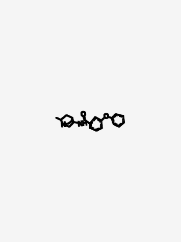 CC1CC2CCN1CC2NC(=O)c1cccc(Oc2ccccc2)c1